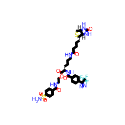 NS(=O)(=O)c1ccc(C(=O)NCCOC(=O)[C@H](CCCCNC(=O)CCCC[C@@H]2SC[C@@H]3NC(=O)N[C@@H]32)NC(=O)c2ccc(C3(C(F)(F)F)N=N3)cc2)cc1